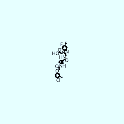 O=C(O)Cn1c(CNC(=O)C2CC3(NC(=O)COc4ccc(Cl)c(F)c4)CC2C3)nc2cc(F)c(F)cc21